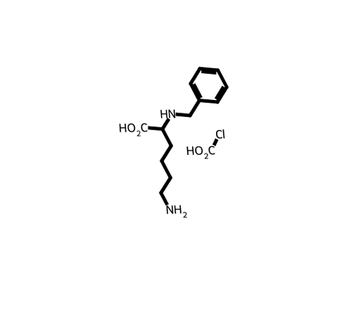 NCCCCC(NCc1ccccc1)C(=O)O.O=C(O)Cl